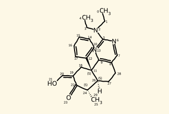 CCN(CC)c1ncc2c(n1)[C@@]1(c3ccccc3)CC(=CO)C(=O)[C@@H](C)[C@@H]1CC2